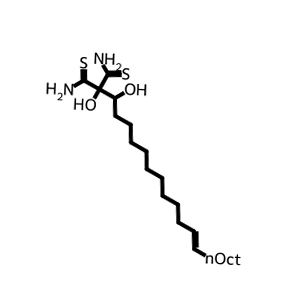 CCCCCCCCC=CCCCCCCCCCC(O)C(O)(C(N)=S)C(N)=S